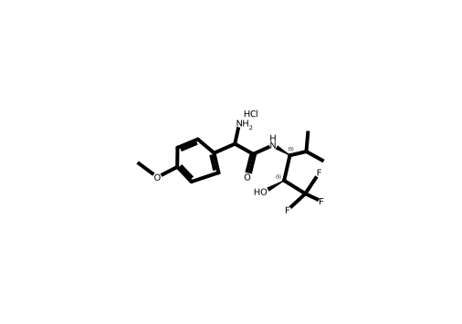 COc1ccc(C(N)C(=O)N[C@@H](C(C)C)[C@H](O)C(F)(F)F)cc1.Cl